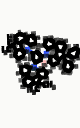 CC1(C)c2ccccc2-c2c(N(c3ccccc3)c3cc4c5c(c3)N(c3ccccc3)c3c(ccc6c3-c3ccccc3C6(c3ccccc3)c3ccccc3)B5c3ccc5c(c3N4c3ccccc3)-c3ccccc3C5(C)C)cccc21